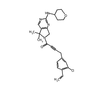 C=Cc1ccc(CC#CC(=O)N2Cc3nc(NC4CCOCC4)ncc3C2(C)C)cc1Cl